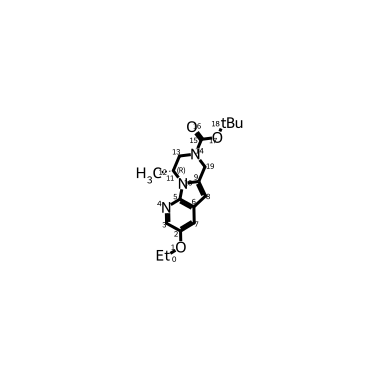 CCOc1cnc2c(c1)cc1n2[C@H](C)CN(C(=O)OC(C)(C)C)C1